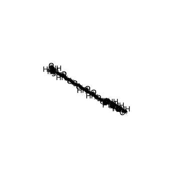 C=CC(=O)Nc1cccc(Nc2nc(Nc3ccc(OCCOCCNC(=O)CCCC(=O)NCCCOCCOCCOCCCNC(=O)CCCC[C@@H]4SC[C@@H]5NC(=O)N[C@@H]54)c(F)c3)ncc2F)c1